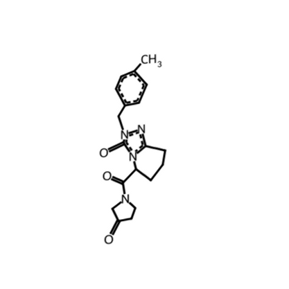 Cc1ccc(Cn2nc3n(c2=O)C(C(=O)N2CCC(=O)C2)CCC3)cc1